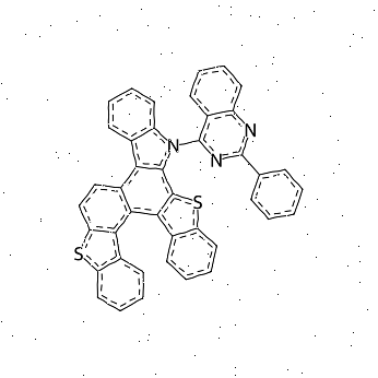 c1ccc(-c2nc(-n3c4ccccc4c4c5ccc6sc7ccccc7c6c5c5c6ccccc6sc5c43)c3ccccc3n2)cc1